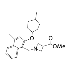 COC(=O)C1CN(Cc2c(OC3CCC(C)CC3)cc(C)c3ccccc23)C1